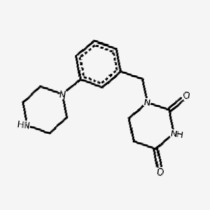 O=C1CCN(Cc2cccc(N3CCNCC3)c2)C(=O)N1